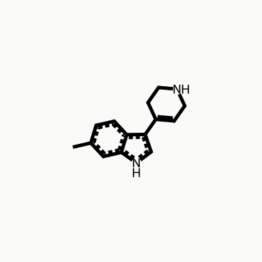 Cc1ccc2c(C3=CCNCC3)c[nH]c2c1